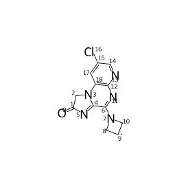 O=C1CN2C(=N1)C(N1C[CH]C1)=Nc1ncc(Cl)cc12